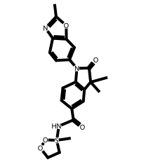 Cc1nc2ccc(N3C(=O)C(C)(C)c4cc(C(=O)NS5(C)CCOO5)ccc43)cc2o1